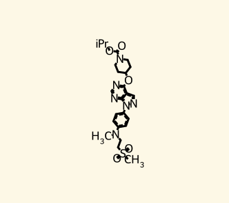 CC(C)OC(=O)N1CCC(Oc2ncnc3c2cnn3-c2ccc(N(C)CCS(C)(=O)=O)cc2)CC1